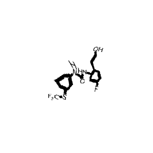 O=C(Nc1cccc(SC(F)(F)F)c1)Nc1cc(F)ccc1CCO